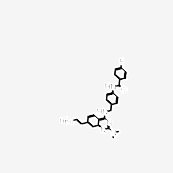 CCCC/C=C/c1ccc2c(NCc3ccc(NC(=O)c4ccc(F)cc4)cc3)nc(N(C)C)nc2c1